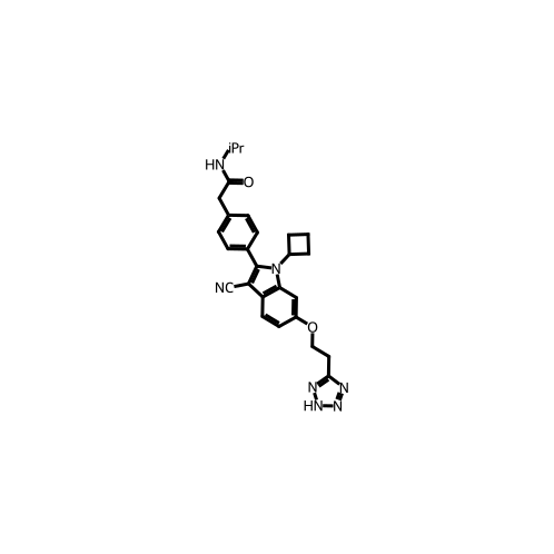 CC(C)NC(=O)Cc1ccc(-c2c(C#N)c3ccc(OCCc4nn[nH]n4)cc3n2C2CCC2)cc1